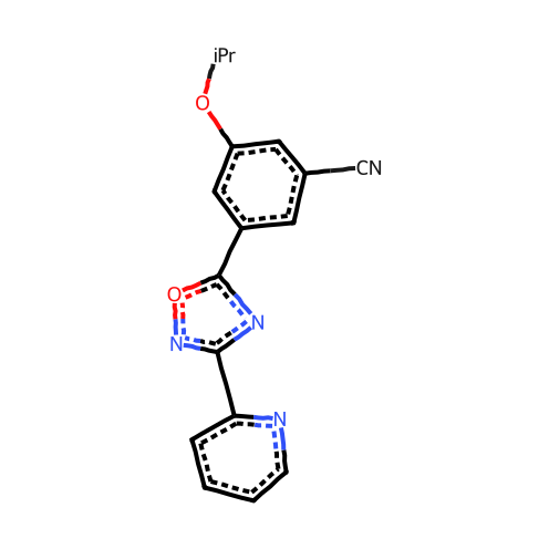 CC(C)Oc1cc(C#N)cc(-c2nc(-c3ccccn3)no2)c1